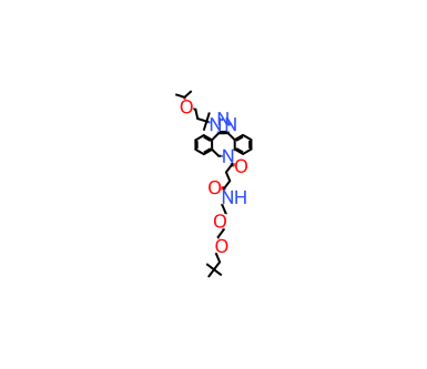 CC(C)OCCC(C)(C)n1nnc2c1-c1ccccc1CN(C(=O)CCC(=O)NCCOCCOCCC(C)(C)C)c1ccccc1-2